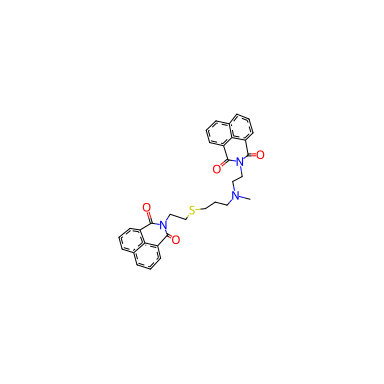 CN(CCCSCCN1C(=O)c2cccc3cccc(c23)C1=O)CCN1C(=O)c2cccc3cccc(c23)C1=O